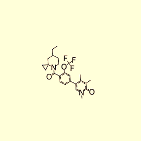 CCC1CCN(C(=O)c2ccc(-c3cn(C)c(=O)c(C)c3C)cc2OC(F)(F)F)C2(CC2)C1